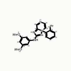 COc1cc(NC2=N[N+]3(c4ccccc4C(C)C)C=CN=CC3=N2)cc(OC)c1